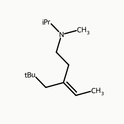 C/C=C(\CCN(C)C(C)C)CC(C)(C)C